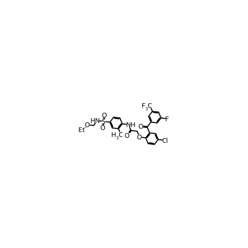 CCOCNS(=O)(=O)c1ccc(NC(=O)COc2ccc(Cl)cc2C(=O)c2cc(F)cc(C(F)(F)F)c2)c(C)c1